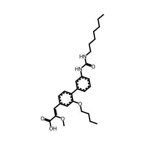 CCCCCCCNC(=O)Nc1cccc(-c2ccc(/C=C(\OC)C(=O)O)cc2OCCCC)c1